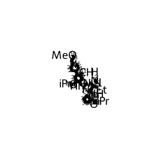 CCc1n[nH]c2nc(Nc3cc(C)c(C4CCN(CCOC)CC4)cc3OC(C)C)nc(Nc3ccccc3S(=O)(=O)C(C)C)c12